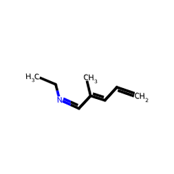 C=C/C=C(C)/C=N\CC